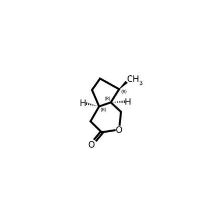 C[C@@H]1CC[C@@H]2CC(=O)OC[C@@H]21